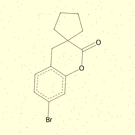 O=C1Oc2cc(Br)ccc2CC12CCCC2